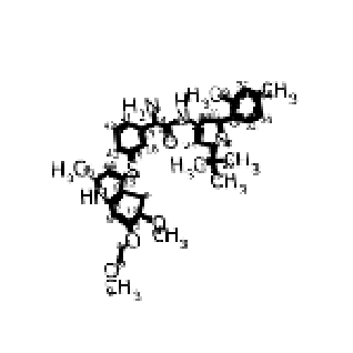 COCCOC1=CC2=C(CC1OC)C(SC1C=C(C(N)C(=O)NC3=CC(C(C)(C)C)=NC(c4ccc(C)cc4C)C3)C=CC1)=C[C@@H](C)N2